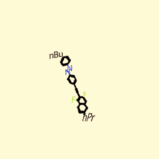 CCCCc1ccc(N=Nc2ccc(C#Cc3c(F)cc4c(c3F)CCC(CCC)C4)cc2)cc1